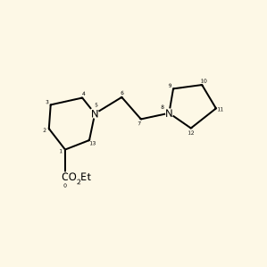 CCOC(=O)C1CCCN(CCN2CCCC2)C1